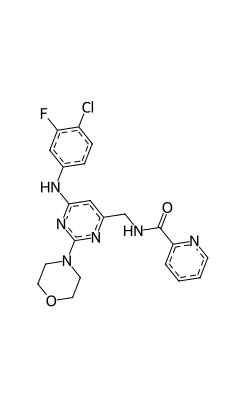 O=C(NCc1cc(Nc2ccc(Cl)c(F)c2)nc(N2CCOCC2)n1)c1ccccn1